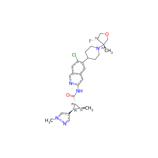 C[C@@H]1[C@@H](C(=O)Nc2cc3cc(C4CCN([C@@]5(C)COC[C@H]5F)CC4)c(Cl)cc3cn2)[C@@H]1c1cnn(C)c1